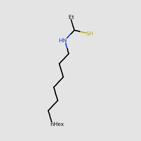 CCCCCCCCCCCCNC(S)CC